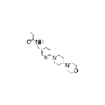 CCC(=O)NCc1ccc(N2CCC(N3CCOCC3)CC2)nc1